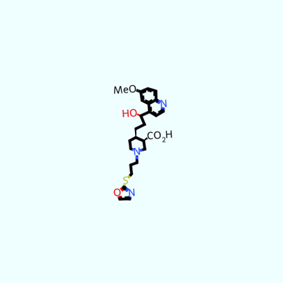 COc1ccc2nccc([C@H](O)CC[C@@H]3CCN(CCCSc4ncco4)C[C@@H]3C(=O)O)c2c1